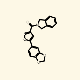 O=C(c1cc(-c2ccc3c(c2)OCO3)on1)N1Cc2ccccc2C1